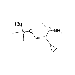 C[C@H](N)C(=CO[Si](C)(C)C(C)(C)C)C1CC1